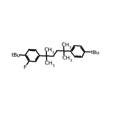 CC(C)(C)c1ccc(C(C)(C)CCC(C)(C)c2ccc(C(C)(C)C)c(F)c2)cc1